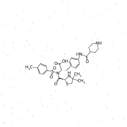 Cc1ccc(S(=O)(=O)N(C(=O)[C@H]2NC(C)(C)CS2)[C@@H](Cc2ccc(NC(=O)C3CCNCC3)cc2)C(=O)O)cc1